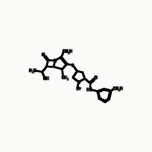 CC(O)C1C(=O)N2C(C(=O)O)=C(SC3CC(C(=O)Nc4cccc(C(=O)O)c4)N(C(C)C)C3)C(C)C12